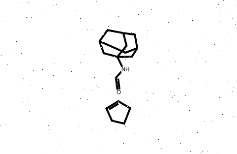 C1=CCCC1.O=CNC12CC3CC(CC(C3)C1)C2